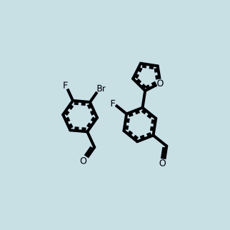 O=Cc1ccc(F)c(-c2ccco2)c1.O=Cc1ccc(F)c(Br)c1